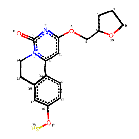 O=c1nc(OCC2CCCO2)cc2n1CCc1cc(OS)ccc1-2